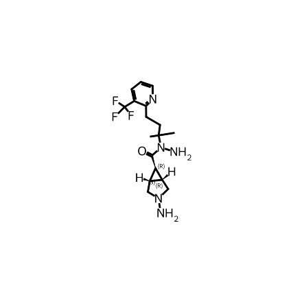 CC(C)(CCc1ncccc1C(F)(F)F)N(N)C(=O)[C@H]1[C@@H]2CN(N)C[C@@H]21